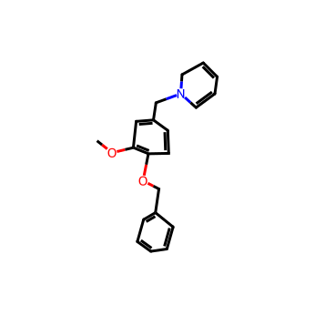 COc1cc(CN2C=CC=CC2)ccc1OCc1ccccc1